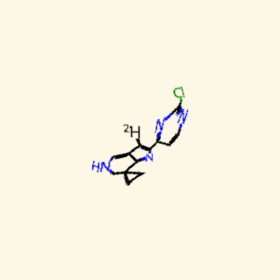 [2H]C1=C(c2ccnc(Cl)n2)N=C2C1=CNCC21CC1